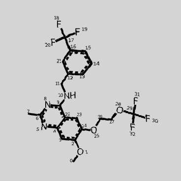 COc1cc2nc(C)nc(NCc3cccc(C(F)(F)F)c3)c2cc1OCCOC(F)(F)F